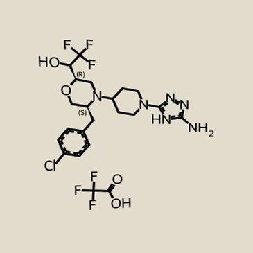 Nc1nnc(N2CCC(N3C[C@H](C(O)C(F)(F)F)OC[C@@H]3Cc3ccc(Cl)cc3)CC2)[nH]1.O=C(O)C(F)(F)F